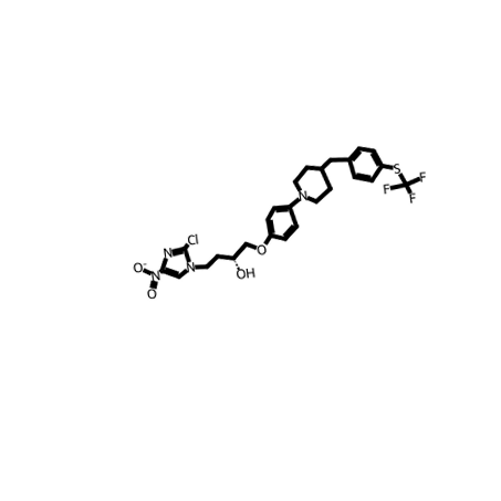 O=[N+]([O-])c1cn(CC[C@@H](O)COc2ccc(N3CCC(Cc4ccc(SC(F)(F)F)cc4)CC3)cc2)c(Cl)n1